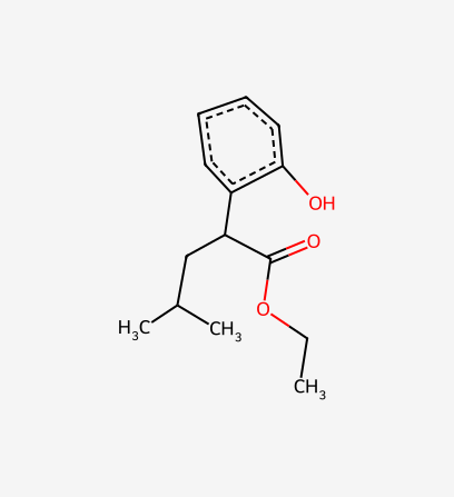 CCOC(=O)C(CC(C)C)c1ccccc1O